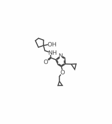 O=C(NCC1(O)CCCC1)c1cc(OCC2CC2)c(C2CC2)cn1